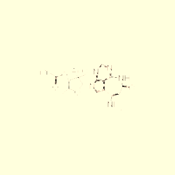 CC(=O)OC1(C)[C@H](OC(=O)C(C)C)C(C)O[C@H]1n1cc2c3c(ncnc31)NC(=O)C=C2N